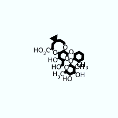 CC1O[C@@H](OC2[C@H](C)CCC[C@H]2O[C@@H]2OC(CO)[C@H](O)C3O[C@@H](C(=O)O)CC4(CCOC32)CC4)[C@@H](O)C(O)[C@@H]1O